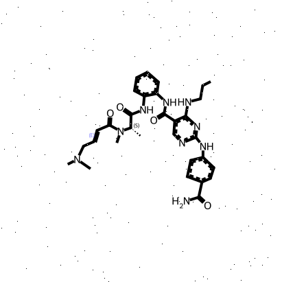 CCCNc1nc(Nc2ccc(C(N)=O)cc2)ncc1C(=O)Nc1ccccc1NC(=O)[C@H](C)N(C)C(=O)/C=C/CN(C)C